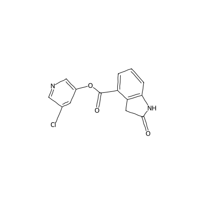 O=C1Cc2c(cccc2C(=O)Oc2cncc(Cl)c2)N1